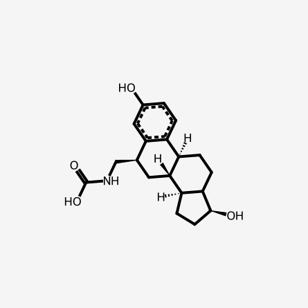 O=C(O)NC[C@@H]1C[C@@H]2[C@H](CCC3[C@H]2CC[C@@H]3O)c2ccc(O)cc21